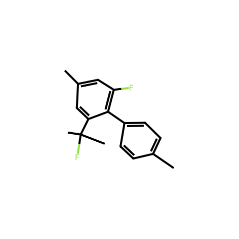 Cc1ccc(-c2c(F)cc(C)cc2C(C)(C)F)cc1